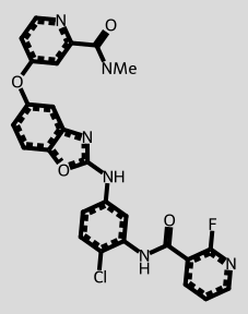 CNC(=O)c1cc(Oc2ccc3oc(Nc4ccc(Cl)c(NC(=O)c5cccnc5F)c4)nc3c2)ccn1